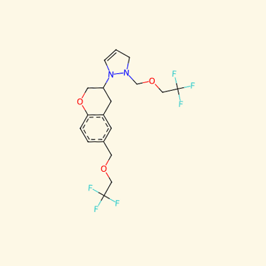 FC(F)(F)COCc1ccc2c(c1)CC(N1C=CCN1COCC(F)(F)F)CO2